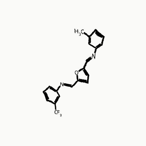 Cc1cccc(N=Cc2ccc(C=Nc3cccc(C(F)(F)F)c3)o2)c1